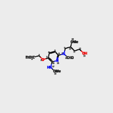 CCOC(=O)COc1ccc(N(C=O)CC(CCO)OC)nc1NOC